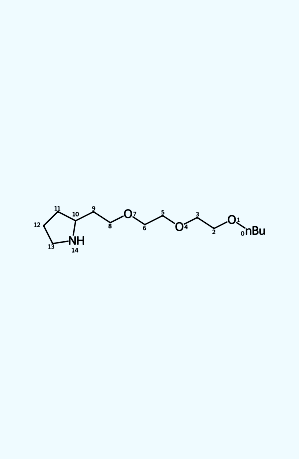 CCCCOCCOCCOCCC1CCCN1